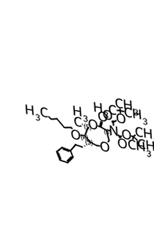 CCCCCO[C@@H]1[C@@H](CCc2ccccc2)COC[C@H](N(C(=O)OC(C)(C)C)C(=O)OC(C)(C)C)C(=O)O[C@H]1C